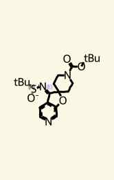 CC(C)(C)OC(=O)N1CCC2(CC1)Oc1cnccc1/C2=N\[S@@+]([O-])C(C)(C)C